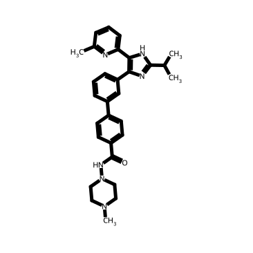 Cc1cccc(-c2[nH]c(C(C)C)nc2-c2cccc(-c3ccc(C(=O)NN4CCN(C)CC4)cc3)c2)n1